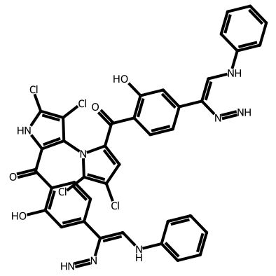 N=N/C(=C\Nc1ccccc1)c1ccc(C(=O)c2[nH]c(Cl)c(Cl)c2-n2c(C(=O)c3ccc(/C(=C/Nc4ccccc4)N=N)cc3O)cc(Cl)c2Cl)c(O)c1